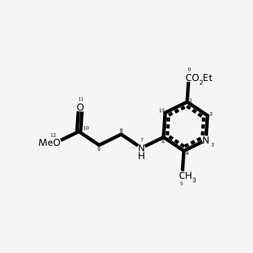 CCOC(=O)c1cnc(C)c(NCCC(=O)OC)c1